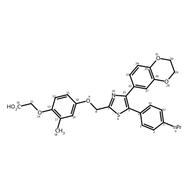 CCCc1ccc(-c2sc(COc3ccc(OCC(=O)O)c(C)c3)nc2-c2ccc3c(c2)OCCO3)cc1